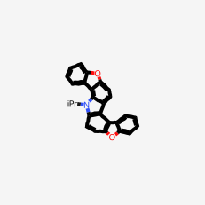 CC(C)n1c2ccc3oc4ccccc4c3c2c2ccc3oc4ccccc4c3c21